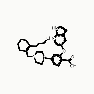 O=C(O)c1ccc(N2CCN(CC3=C(CCCCl)CCCC3)CC2)cc1Oc1cnc2[nH]ccc2c1